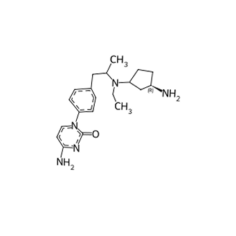 CCN(C(C)Cc1ccc(-n2ccc(N)nc2=O)cc1)C1CC[C@@H](N)C1